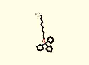 CCCCCCCCCCOC(c1ccccc1)(c1ccccc1)c1ccccc1